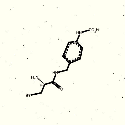 CC(C)C[C@H](N)C(=O)NCc1ccc(NC(=O)O)cc1